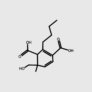 CCCCC1=C(C(=O)O)C=CC(C)(CO)C1C(=O)O